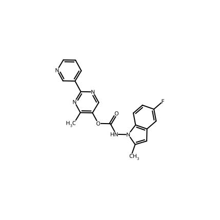 Cc1nc(-c2cccnc2)ncc1OC(=O)Nn1c(C)cc2cc(F)ccc21